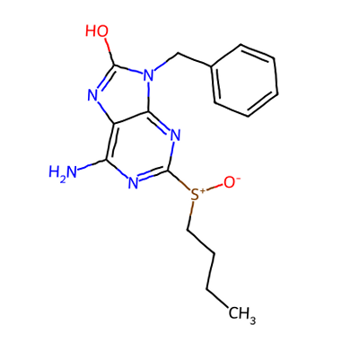 CCCC[S+]([O-])c1nc(N)c2nc(O)n(Cc3ccccc3)c2n1